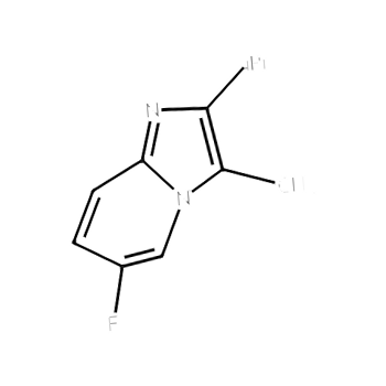 Cc1c(C(C)C)nc2ccc(F)cn12